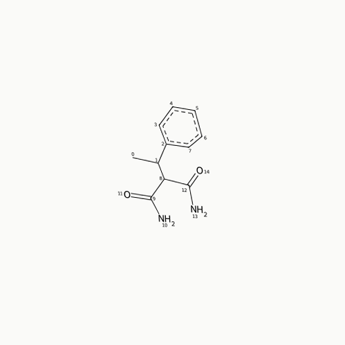 CC(c1ccccc1)C(C(N)=O)C(N)=O